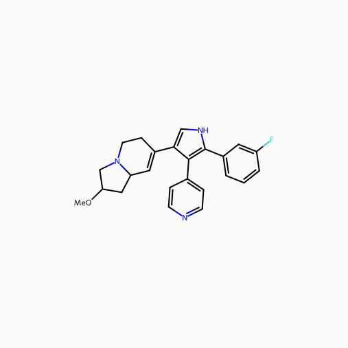 COC1CC2C=C(c3c[nH]c(-c4cccc(F)c4)c3-c3ccncc3)CCN2C1